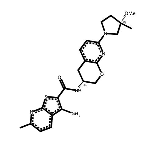 CO[C@@]1(C)CCN(c2ccc3c(n2)OC[C@H](NC(=O)c2sc4nc(C)ccc4c2N)C3)C1